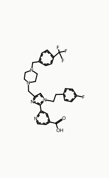 O=C(O)c1ccnc(-c2nc(CN3CCN(Cc4ccc(C(F)(F)F)cc4)CC3)cn2CCc2ccc(F)cc2)c1